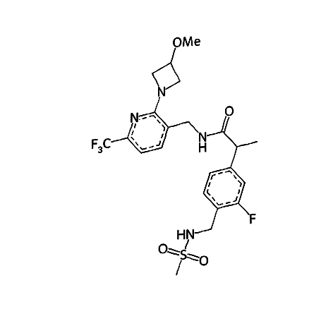 COC1CN(c2nc(C(F)(F)F)ccc2CNC(=O)C(C)c2ccc(CNS(C)(=O)=O)c(F)c2)C1